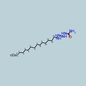 CCCCCCCCCCCCCCCCCCCCCCCNNNNC(N)=O